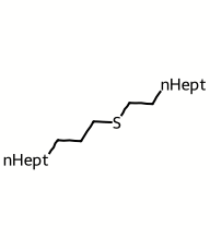 [CH2]CCCCCCCCSCCCCCCCCCC